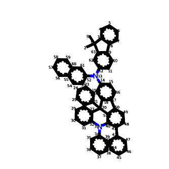 CC1(C)c2ccccc2-c2ccc(N(c3ccc4c(c3)C3(c5ccccc5)c5ccccc5N(c5ccccc5)c5c(-c6ccccc6)ccc-4c53)c3ccc4ccccc4c3)cc21